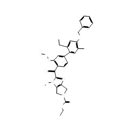 CCOC(=O)N1Cc2nc(C(=N)c3ccc(-c4cc(F)c(OCc5ccccc5)cc4CC)cc3NSF)n(SF)c2C1